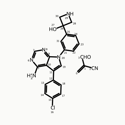 C=C(C#N)C=O.Nc1ncnc2c1c(-c1ccc(Cl)cc1)cn2-c1cccc(C2(O)CNC2)c1